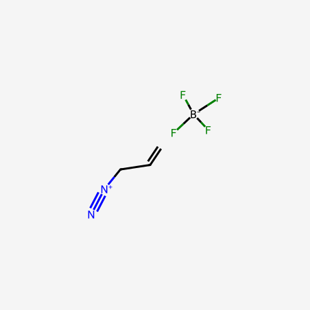 C=CC[N+]#N.F[B-](F)(F)F